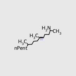 CCCCCC(C)CCC/C(C)=C/CCC(C)N